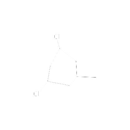 CC1CC(Cl)CC(Cl)C1